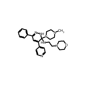 CN1CCN(C2(NCCN3CCOCC3)NN=C(c3ccccc3)C=C2c2ccncc2)CC1